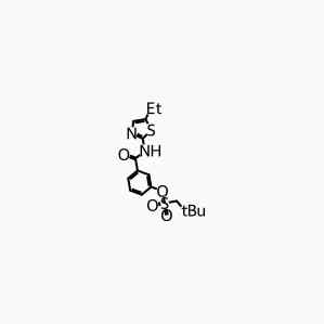 CCc1cnc(NC(=O)c2cccc(OS(=O)(=O)CC(C)(C)C)c2)s1